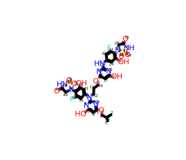 CC(C)COc1cc(O)nc(N(CCCOc2cc(O)nc(Nc3cc(O)c(N4CC(=O)NS4(=O)=O)c(F)c3)n2)c2cc(O)c(N3CC(=O)NS3(=O)=O)c(F)c2)n1